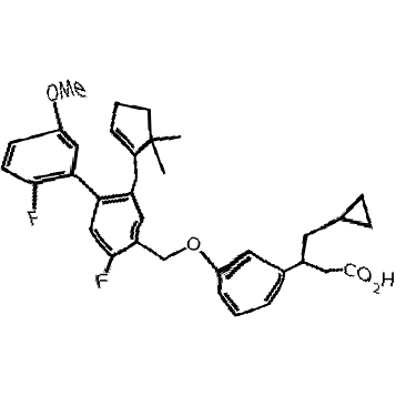 COc1ccc(F)c(-c2cc(F)c(COc3cccc(C(CC(=O)O)CC4CC4)c3)cc2C2=CCCC2(C)C)c1